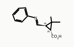 CC1(C)[C@H](C=Nc2ccccc2)[C@H]1C(=O)O